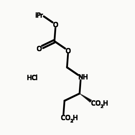 CC(C)OC(=O)OCN[C@@H](CC(=O)O)C(=O)O.Cl